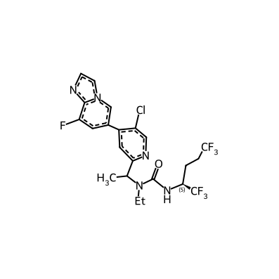 CCN(C(=O)N[C@@H](CCC(F)(F)F)C(F)(F)F)C(C)c1cc(-c2cc(F)c3nccn3c2)c(Cl)cn1